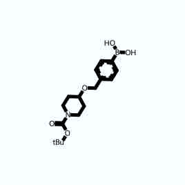 CC(C)(C)OC(=O)N1CCC(OCc2ccc(B(O)O)cc2)CC1